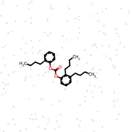 CCCCc1ccccc1OC(=O)Oc1cccc(CCCC)c1CCCC